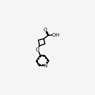 O=C(O)C1CC(Oc2ccncc2)C1